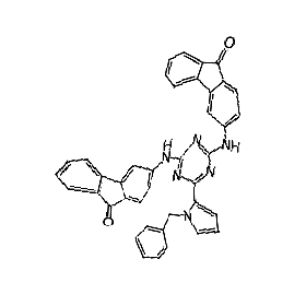 O=C1c2ccccc2-c2cc(Nc3nc(Nc4ccc5c(c4)-c4ccccc4C5=O)nc(-c4cccn4Cc4ccccc4)n3)ccc21